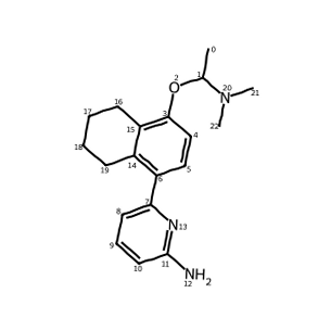 CC(Oc1ccc(-c2cccc(N)n2)c2c1CCCC2)N(C)C